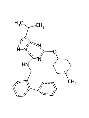 CC(C)c1cnn2c(NCc3ccccc3-c3ccccc3)nc(OC3CCN(C)CC3)nc12